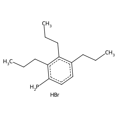 Br.CCCc1ccc(P)c(CCC)c1CCC